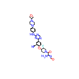 N#Cc1cc(-c2ncnc(Nc3ccc(N4CCN(C5COC5)CC4)cc3)n2)ccc1OC1CCN(C(=O)/C(N)=N/C=O)CC1F